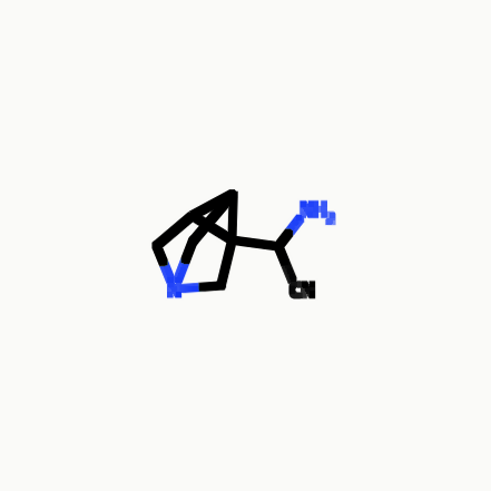 N#CC(N)C12CN3CC1C2C3